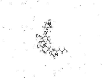 CCCCc1nccc(-c2cc(-n3c(C)cc(OCc4ccn(C)n4)c(Br)c3=O)c(Cl)cn2)n1